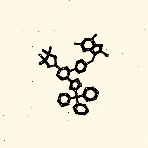 CCc1nc2c(C)cc(C)nc2n1Cc1ccc(-c2cc(B3OC(C)(C)C(C)(C)O3)ccc2-c2nnn(C(c3ccccc3)(c3ccccc3)c3ccccc3)n2)cc1